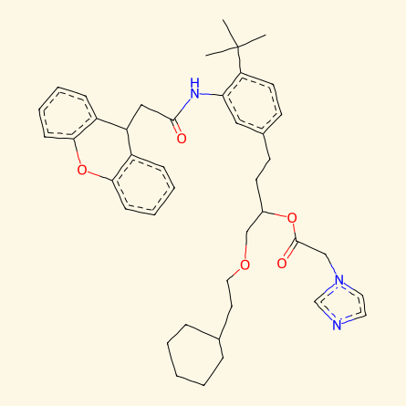 CC(C)(C)c1ccc(CCC(COCCC2CCCCC2)OC(=O)Cn2ccnc2)cc1NC(=O)CC1c2ccccc2Oc2ccccc21